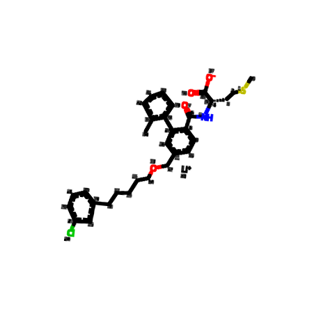 CSCC[C@H](NC(=O)c1ccc(COCCCCCc2cccc(Cl)c2)cc1-c1ccccc1C)C(=O)[O-].[Li+]